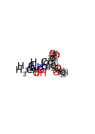 CCC(=C(c1ccc(OCC(O)C(CC)NC)cc1)c1ccc(OC(=O)c2ccccc2)cc1)c1ccc2c(c1)OCO2